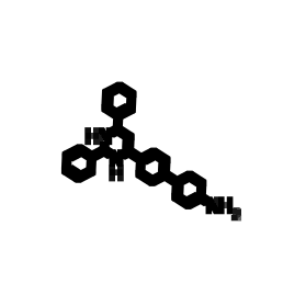 NC1=CC=C(C2=CC=C(C3=CC(C4=CCCC=C4)NC(C4C=CC=CC4)N3)CC2)CC1